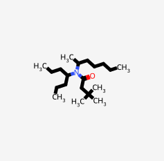 CCCCCC(C)N(C(=O)CC(C)(C)C)C(CCC)CCC